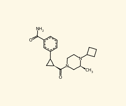 C[C@H]1CN(C(=O)[C@H]2CC2c2cccc(C(N)=O)c2)CCN1C1CCC1